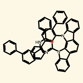 c1ccc(C2=NC(n3c4ccccc4c4ccc5c6ccccc6n(-c6cc(-c7ccccc7)ccc6-c6ccccc6)c5c43)=NC(c3cccc(-c4ccccc4)c3)N2)cc1